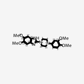 COc1ccc(N2CCN(c3nc4cc(OC)c(OC)cc4[nH]3)CC2)cc1OC